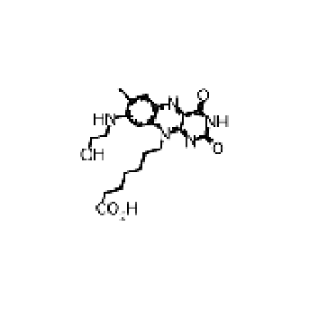 Cc1cc2nc3c(=O)[nH]c(=O)nc-3n(CCCCCCC(=O)O)c2cc1NCCO